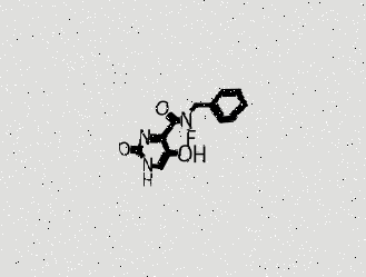 O=C(c1nc(=O)[nH]cc1O)N(F)Cc1ccccc1